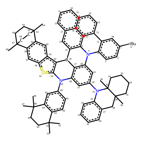 CC(C)(C)c1ccc(N2c3cc4ccccc4cc3B3c4c2cc(N2c5ccccc5CC5(C)CCCCC25C)cc4N(c2ccc4c(c2)C(C)(C)CCC4(C)C)c2sc4cc5c(cc4c23)C2(C)CCC5(C)CC2)c(-c2ccccc2)c1